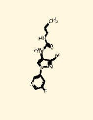 C=CCNC(=O)Nc1cn(-c2cncc(F)c2)nc1Br